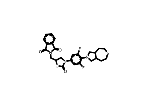 O=C1c2ccccc2C(=O)N1CC1CN(c2cc(F)c(N3CC4CCSCCC4C3)c(F)c2)C(=O)O1